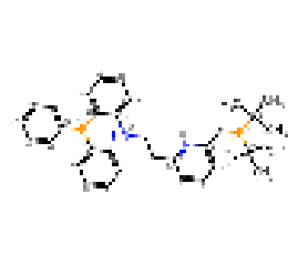 CC(C)(C)P(Cc1cccc(CCNc2ccccc2P(c2ccccc2)c2ccccc2)n1)C(C)(C)C